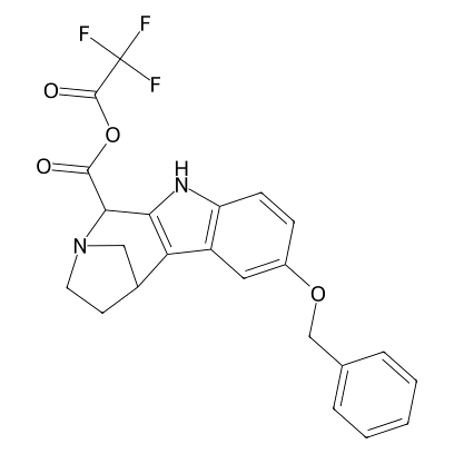 O=C(OC(=O)C(F)(F)F)C1c2[nH]c3ccc(OCc4ccccc4)cc3c2C2CCN1C2